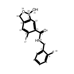 O=C(NCc1ccccc1F)c1cc2c(cc1F)COB2O